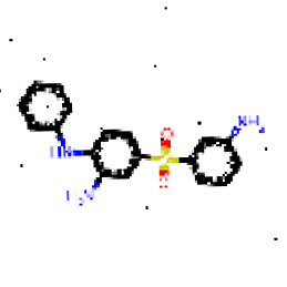 Nc1cccc(S(=O)(=O)c2ccc(Nc3ccccc3)c(N)c2)c1